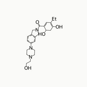 CCC1=C(O)CC(O)C(C(=O)N2Cc3ccc(N4CCN(CCO)CC4)cc3C2)=C1